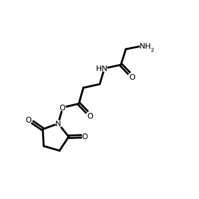 NCC(=O)NCCC(=O)ON1C(=O)CCC1=O